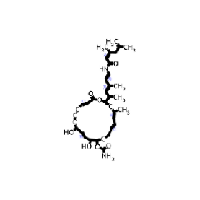 C=C(C)C/C(C)=C\C(=O)N/C=C/C(C)=C/C(C)C1C/C(C)=C/C=C/CCC(OC(N)=O)C(O)/C=C/C(O)CCC/C=C/C(=O)O1